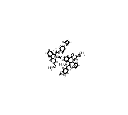 C#CC1C(C(=O)Nc2ccc(-n3cccc3)cc2)c2ccccc2C(=O)N1CCOC.COCCN1C(=O)c2ccccc2C(C(=O)N(C)c2cccc(OC)c2)C1c1cccs1